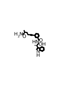 CC(CCC#Cc1cccc(C(=O)NC(O)[C@H](C)c2c[nH]c3ccccc23)c1)C(N)=O